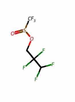 O=S(OCC(F)(F)C(F)F)C(F)(F)F